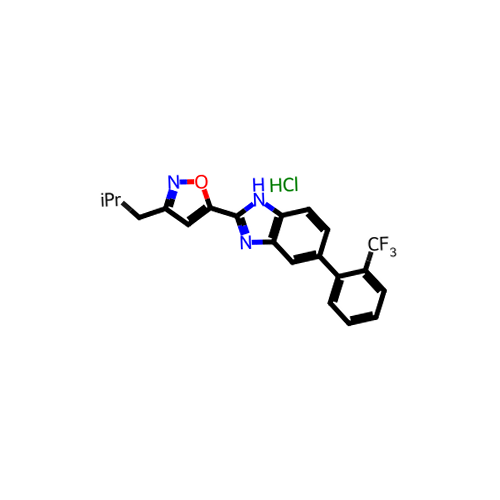 CC(C)Cc1cc(-c2nc3cc(-c4ccccc4C(F)(F)F)ccc3[nH]2)on1.Cl